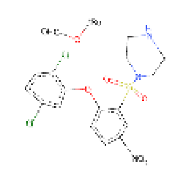 CC(C)(C)OC=O.O=[N+]([O-])c1ccc(Oc2cc(Cl)ccc2Cl)c(S(=O)(=O)N2CCNCC2)c1